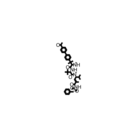 CNC(C(=O)NC(C(=O)N(C)C(/C=C(\C)C(=O)NS(=O)(=O)Cc1ccccc1)C(C)C)C(C)(C)C)C(C)(C)c1ccc(-c2ccc(C(C)=O)cc2)cc1